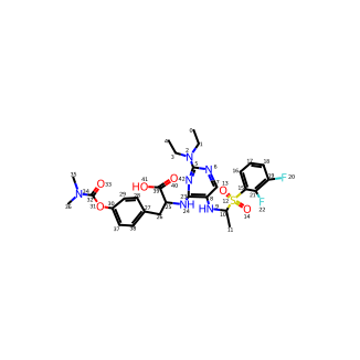 CCN(CC)c1ncc(NC(C)S(=O)(=O)c2cccc(F)c2F)c(NC(Cc2ccc(OC(=O)N(C)C)cc2)C(=O)O)n1